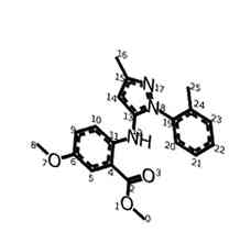 COC(=O)c1cc(OC)ccc1Nc1cc(C)nn1-c1ccccc1C